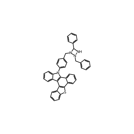 c1ccc(CN2NC(c3ccccc3)N2Cc2ccc(-n3c4ccccc4c4c5c6ccccc6sc5c5ccccc5c43)cc2)cc1